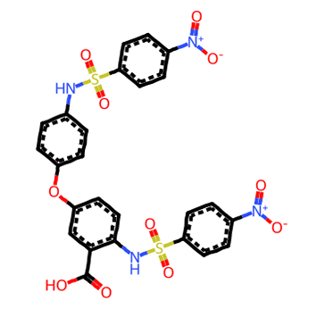 O=C(O)c1cc(Oc2ccc(NS(=O)(=O)c3ccc([N+](=O)[O-])cc3)cc2)ccc1NS(=O)(=O)c1ccc([N+](=O)[O-])cc1